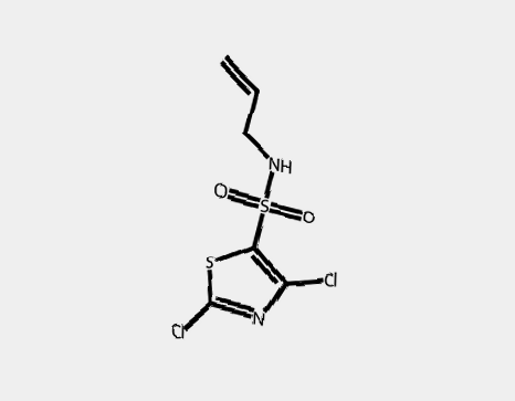 C=CCNS(=O)(=O)c1sc(Cl)nc1Cl